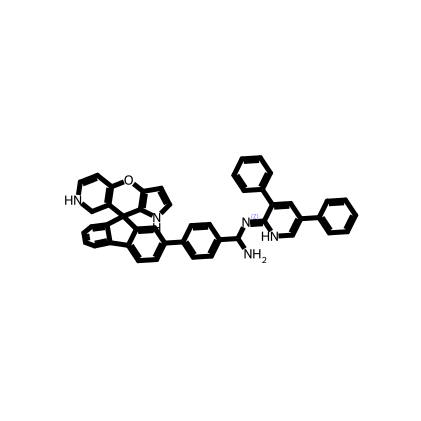 NC(/N=c1\[nH]cc(-c2ccccc2)cc1-c1ccccc1)c1ccc(-c2ccc3c(c2)C2(C4=C(C=CNC4)Oc4cc[nH]c42)c2ccccc2-3)cc1